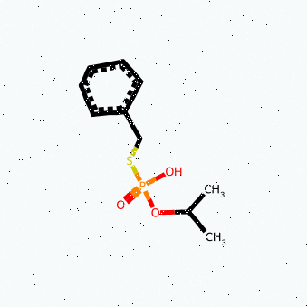 CC(C)OP(=O)(O)SCc1ccccc1